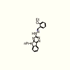 CCCn1c2ccccc2c2nnc(N/N=C/c3ccccc3OCC)nc21